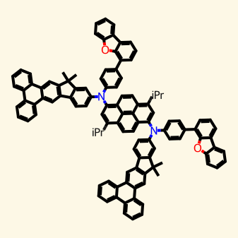 CC(C)c1cc(N(c2ccc(-c3cccc4c3oc3ccccc34)cc2)c2ccc3c(c2)C(C)(C)c2cc4c5ccccc5c5ccccc5c4cc2-3)c2ccc3c(C(C)C)cc(N(c4ccc(-c5cccc6c5oc5ccccc56)cc4)c4ccc5c(c4)C(C)(C)c4cc6c7ccccc7c7ccccc7c6cc4-5)c4ccc1c2c34